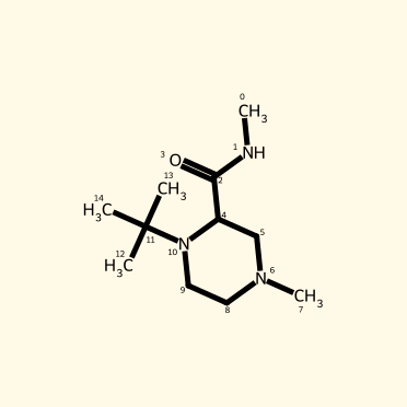 CNC(=O)C1CN(C)CCN1C(C)(C)C